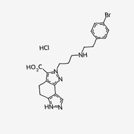 Cl.O=C(O)c1c2c(nn1CCCNCCc1ccc(Br)cc1)-c1cn[nH]c1CC2